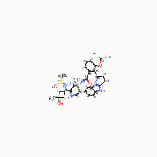 CC(C)(C)[S+]([O-])NC1(c2ncc(-c3ccc4nc5n(c4c3)[C@@H](c3c(OC(F)F)cccc3C(N)=O)CC5)cc2F)CC(O)(C(F)(F)F)C1